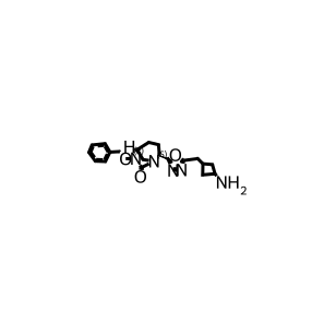 NC1CC(Cc2nnc([C@@H]3CC[C@@H]4CN3C(=O)N4OCc3ccccc3)o2)C1